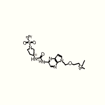 CCCS(=O)(=O)N1CC[C@H](NC(=O)Nc2cnc3c(ccn3COCC[Si](C)(C)C)n2)C1